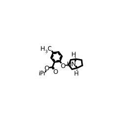 Cc1ccc(O[C@H]2C[C@H]3CC[C@@H](C2)N3)c(C(=O)OC(C)C)c1